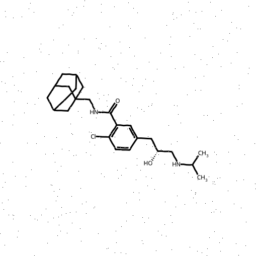 CC(C)NC[C@H](O)Cc1ccc(Cl)c(C(=O)NCC23CC4CC(CC(C4)C2)C3)c1